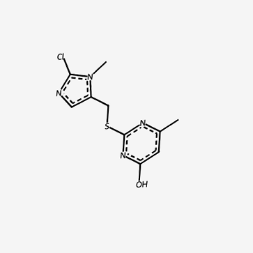 Cc1cc(O)nc(SCc2cnc(Cl)n2C)n1